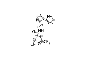 O=C(NCCc1ncnn1-c1ncccn1)c1cc(Cl)cc(C(F)(F)F)c1